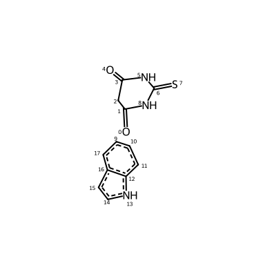 O=C1CC(=O)NC(=S)N1.c1ccc2[nH]ccc2c1